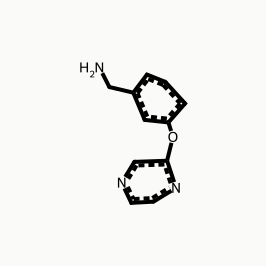 NCc1cccc(Oc2cnccn2)c1